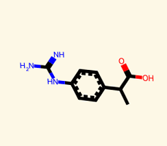 CC(C(=O)O)c1ccc(NC(=N)N)cc1